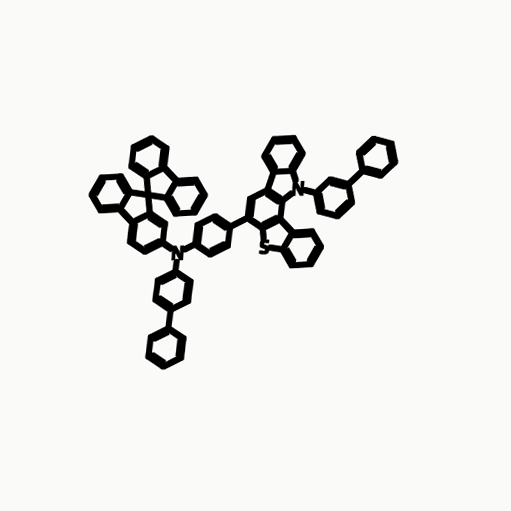 c1ccc(-c2ccc(N(c3ccc(-c4cc5c6ccccc6n(-c6cccc(-c7ccccc7)c6)c5c5c4sc4ccccc45)cc3)c3ccc4c(c3)C3(c5ccccc5-c5ccccc53)c3ccccc3-4)cc2)cc1